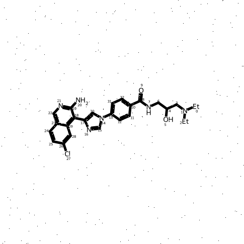 CCN(CC)CC(O)CNC(=O)c1ccc(-n2cnc(-c3c(N)ncc4ccc(Cl)cc34)c2)cc1